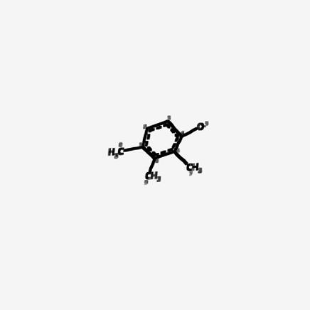 Cc1ccc([O])c(C)c1C